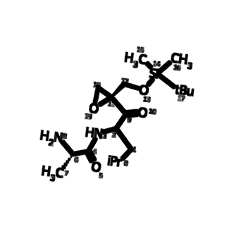 CC(C)CC(NC(=O)[C@H](C)N)C(=O)[C@@]1(CO[Si](C)(C)C(C)(C)C)CO1